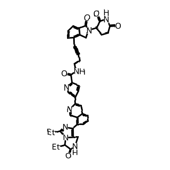 CCc1nc(-c2cccc3cc(-c4ccc(C(=O)NCCC#Cc5cccc6c5CN(C5CCC(=O)NC5=O)C6=O)nc4)ncc23)c2n1C(CC)C(=O)NC2